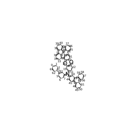 c1ccc(-c2cccc(N(c3ccc4c(c3)Oc3cc5c(cc3O4)-c3ccccc3C53c4ccccc4-c4ccccc43)c3ccc(-c4ccccc4)c(-c4ccccc4)c3)c2)cc1